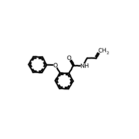 C=CCNC(=O)c1ccccc1Oc1ccccc1